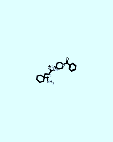 N#CC1(NC(=O)[CH]CC2(C(N)=O)CCCCC2)CCN(C(=O)c2ccccc2)CC1